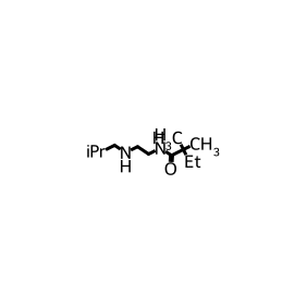 CCC(C)(C)C(=O)NCCNCC(C)C